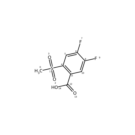 CS(=O)(=O)c1cc(F)c(F)cc1C(=O)O